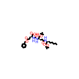 CCCCCC[C@H](NC(=O)CC[C@H](NC(=O)N[C@@H](CCC(=O)OCc1ccccc1)C(=O)O)C(=O)OC(C)(C)C)C(=O)OC(C)(C)C